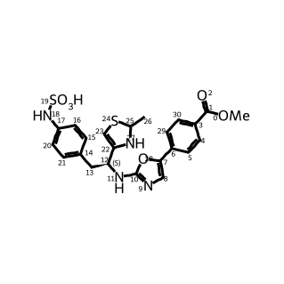 COC(=O)c1ccc(-c2cnc(N[C@@H](Cc3ccc(NS(=O)(=O)O)cc3)C3=CSC(C)N3)o2)cc1